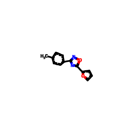 Cc1ccc(-c2noc(-c3ccco3)n2)cc1